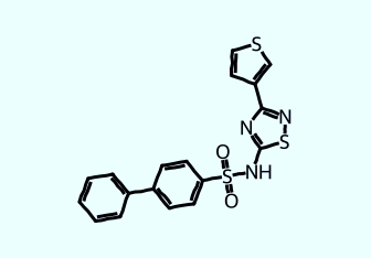 O=S(=O)(Nc1nc(-c2ccsc2)ns1)c1ccc(-c2ccccc2)cc1